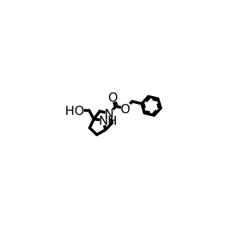 O=C(OCc1ccccc1)N1CC2CCC(CO)(C1)N2